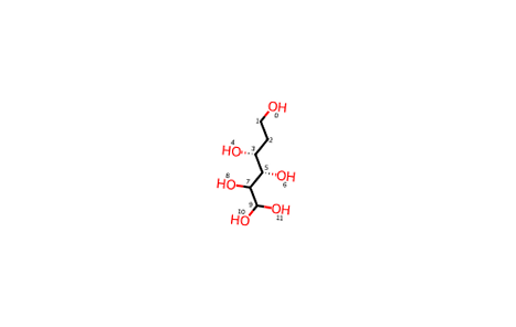 OCC[C@@H](O)[C@H](O)C(O)C(O)O